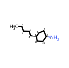 CCCCC[C@H]1CC[C@@H](N)CC1